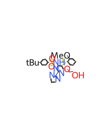 COc1ccccc1Sc1c(NS(=O)(=O)c2ccc(C(C)(C)C)cc2)nc(-c2ncccn2)nc1OCCO